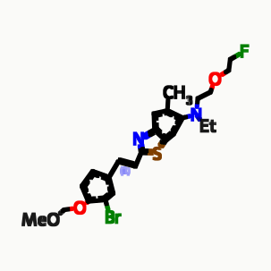 CCN(CCOCCF)c1cc2sc(/C=C/c3ccc(OCOC)c(Br)c3)nc2cc1C